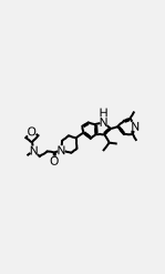 Cc1cc(-c2[nH]c3ccc(C4CCN(C(=O)CCN(C)C5COC5)CC4)cc3c2C(C)C)cc(C)n1